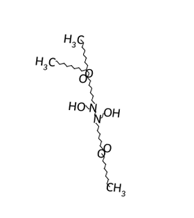 CCCCCCCCCOC(=O)CCCCCCCN(CCO)CCN(CCO)CCCCCCCC(=O)OC(CCCCCCCC)CCCCCCCCC